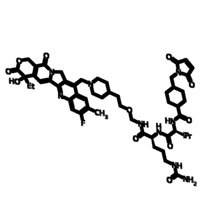 CCC1(O)C(=O)OCc2c1cc1n(c2=O)Cc2c-1nc1cc(F)c(C)cc1c2CN1CCC(CCOCNC(=O)[C@H](CCCNC(N)=O)NC(=O)[C@@H](NC(=O)C2CCC(CN3C(=O)C=CC3=O)CC2)C(C)C)CC1